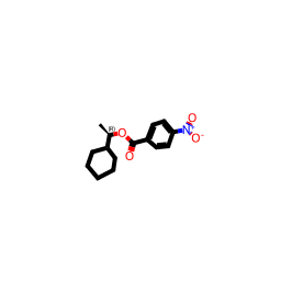 C[C@@H](OC(=O)c1ccc([N+](=O)[O-])cc1)C1CCCCC1